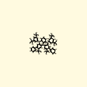 CC(C)(C)c1cc(N2c3cc(-c4ccccc4)c(C(C)(C)C)cc3B3c4cc(C(C)(C)C)c(-c5ccccc5)cc4N(c4cc(C(C)(C)C)cc(C(C)(C)C)c4)c4cccc2c43)cc(C(C)(C)C)c1